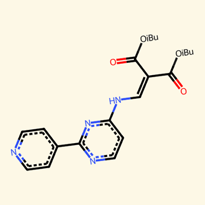 CC(C)COC(=O)C(=CNc1ccnc(-c2ccncc2)n1)C(=O)OCC(C)C